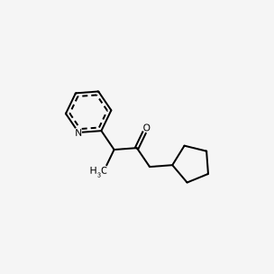 CC(C(=O)CC1CCCC1)c1ccccn1